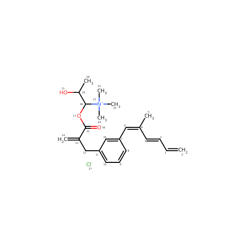 C=CC=CC(C)=Cc1cccc(CC(=C)C(=O)OC(C(C)O)[N+](C)(C)C)c1.[Cl-]